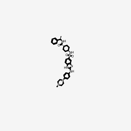 C[C@@H](NC(=O)[C@H]1CC[C@H](NS(=O)(=O)c2ccc3[nH]c(Nc4ccc(N5CCN(C)CC5)cc4)nc3c2)CC1)c1ccccc1